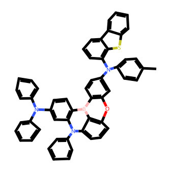 Cc1ccc(N(c2ccc3c(c2)Oc2cccc4c2B3c2ccc(N(c3ccccc3)c3ccccc3)cc2N4c2ccccc2)c2cccc3c2sc2ccccc23)cc1